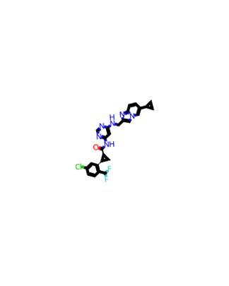 O=C(Nc1cc(NCc2cn3cc(C4CC4)ccc3n2)ncn1)[C@H]1C[C@@H]1c1cc(Cl)ccc1C(F)F